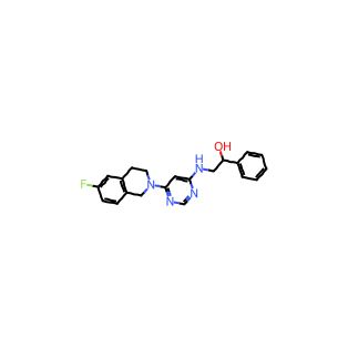 OC(CNc1cc(N2CCc3cc(F)ccc3C2)ncn1)c1ccccc1